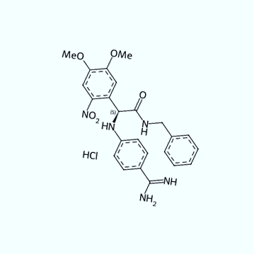 COc1cc([C@H](Nc2ccc(C(=N)N)cc2)C(=O)NCc2ccccc2)c([N+](=O)[O-])cc1OC.Cl